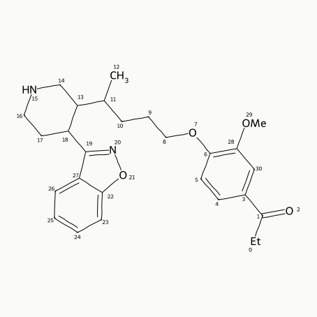 CCC(=O)c1ccc(OCCCC(C)C2CNCCC2c2noc3ccccc23)c(OC)c1